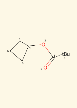 CC(C)(C)C(=O)OC1CCC1